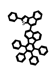 c1ccc(-c2cc3c(s2)c(-c2ccc4c5c(cccc25)-c2c(-c5ccccc5)c(-c5ccccc5)c(-c5ccccc5)c(-c5ccccc5)c2-4)cc2ccccc23)cc1